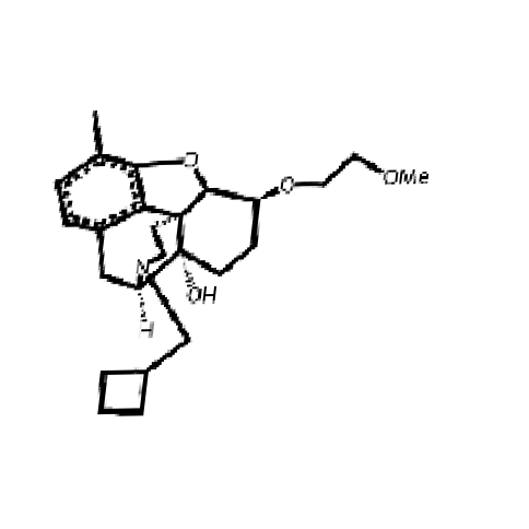 COCCO[C@H]1CC[C@@]2(O)[C@H]3Cc4ccc(C)c5c4[C@@]2(CCN3CC2CCC2)C1O5